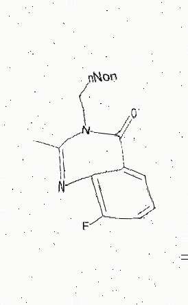 CCCCCCCCCCn1c(C)nc2c(F)cccc2c1=O